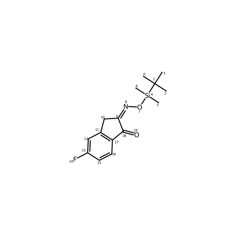 CC(C)(C)[Si](C)(C)ON=C1Cc2cc(F)ccc2C1=O